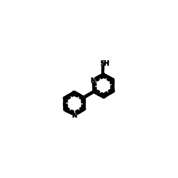 Sc1cccc(-c2cccnc2)n1